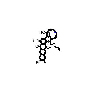 C=CCOC(=O)N1c2c(cc(O)c3c2C(=O)c2cc4cc(C)c(CC)cc4cc2C3=O)[C@@]23O[C@@]2(C(C)C)[C@@H]1C#C/C=C\C#C[C@H]3O